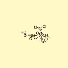 CCCC[C@H](c1ccc(C(=O)NCCC(=O)O)cc1)N1C(=O)C(c2cc(Cl)cc(Cl)c2)=NC1(C)C